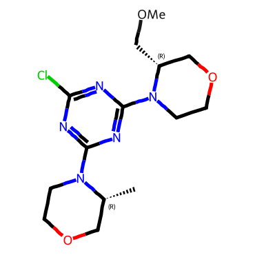 COC[C@@H]1COCCN1c1nc(Cl)nc(N2CCOC[C@H]2C)n1